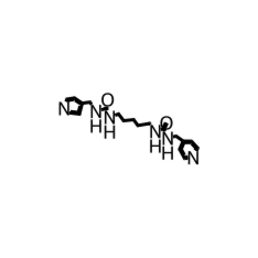 O=C(NCCCCCNC(=O)NCc1ccncc1)NCc1ccncc1